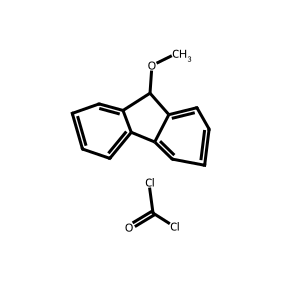 COC1c2ccccc2-c2ccccc21.O=C(Cl)Cl